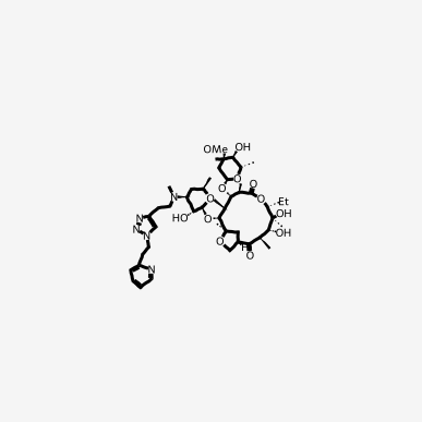 CC[C@H]1OC(=O)[C@H](C)[C@@H](O[C@H]2C[C@@](C)(OC)[C@@H](O)[C@H](C)O2)[C@H](C)[C@@H](O[C@@H]2O[C@H](C)C[C@H](N(C)CCc3cn(CCc4ccccn4)nn3)[C@H]2O)[C@@]2(C)C[C@@H](CO2)C(=O)[C@H](C)[C@@H](O)[C@]1(C)O